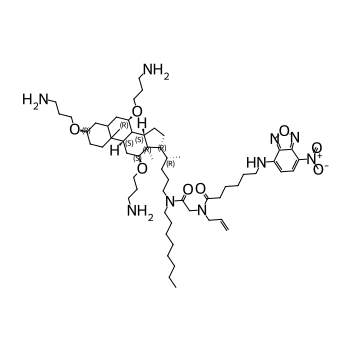 C=CCN(CC(=O)N(CCCCCCCC)CCC[C@@H](C)[C@H]1CC[C@H]2C3[C@H](OCCCN)CC4C[C@H](OCCCN)CCC4(C)[C@H]3C[C@H](OCCCN)[C@]12C)C(=O)CCCCCNc1ccc([N+](=O)[O-])c2nonc12